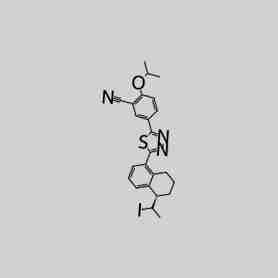 CC(C)Oc1ccc(-c2nnc(-c3cccc4c3CCC[C@H]4C(C)I)s2)cc1C#N